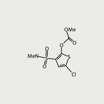 CNS(=O)(=O)c1cc(Cl)sc1OC(=O)OC